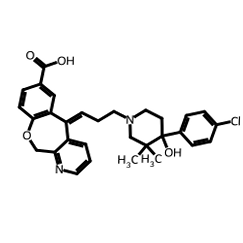 CC1(C)CN(CCC=C2c3cc(C(=O)O)ccc3OCc3ncccc32)CCC1(O)c1ccc(Cl)cc1